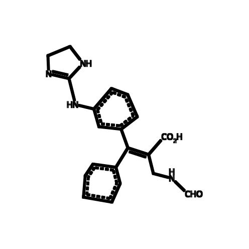 O=CNCC(C(=O)O)=C(c1ccccc1)c1cccc(NC2=NCCN2)c1